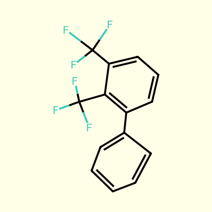 FC(F)(F)c1cccc(-c2ccccc2)c1C(F)(F)F